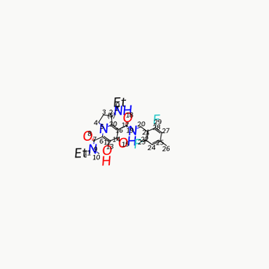 CCN[C@H]1CCn2c(C(=O)N(C)CC)c(O)c(=O)c(C(=O)NCc3c(F)cc(C)cc3F)c21